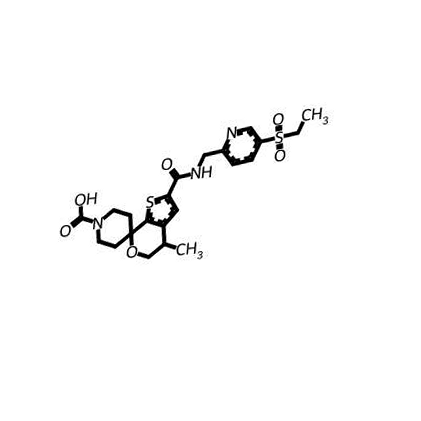 CCS(=O)(=O)c1ccc(CNC(=O)c2cc3c(s2)C2(CCN(C(=O)O)CC2)OCC3C)nc1